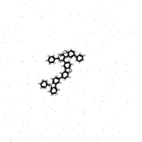 c1ccc(-c2ccc3oc4nc(-c5ccccc5)nc(-c5ccc6oc7ccc(-c8ccc9c(c8)c8ccccc8n9-c8ccccc8)cc7c6c5)c4c3c2)cc1